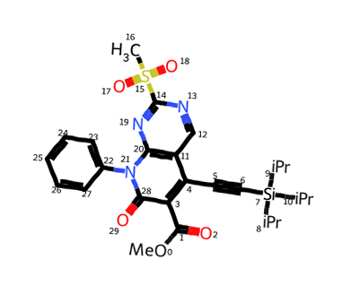 COC(=O)c1c(C#C[Si](C(C)C)(C(C)C)C(C)C)c2cnc(S(C)(=O)=O)nc2n(-c2ccccc2)c1=O